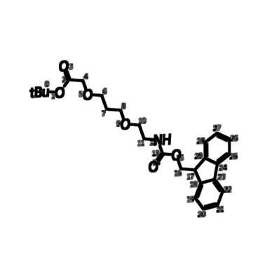 CC(C)(C)OC(=O)COCCCOCCNC(=O)OCC1c2ccccc2-c2ccccc21